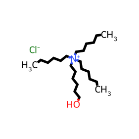 CCCCCC[N+](CCCCCC)(CCCCCC)CCCCCCO.[Cl-]